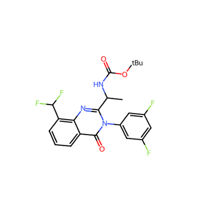 CC(NC(=O)OC(C)(C)C)c1nc2c(C(F)F)cccc2c(=O)n1-c1cc(F)cc(F)c1